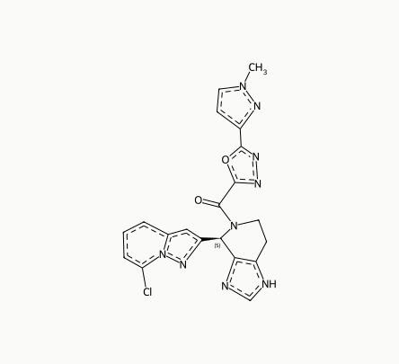 Cn1ccc(-c2nnc(C(=O)N3CCc4[nH]cnc4[C@H]3c3cc4cccc(Cl)n4n3)o2)n1